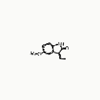 C/C=C1\C(=O)Nc2ccc(OC)cc21